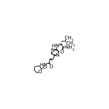 CC(C)C[C@@H](Nc1cnc(/C=C/C(=O)NOC2CCCCO2)cn1)C(N)=O